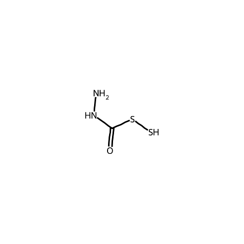 NNC(=O)SS